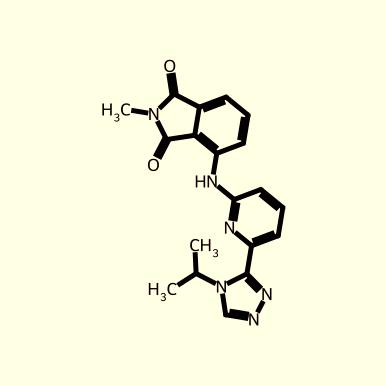 CC(C)n1cnnc1-c1cccc(Nc2cccc3c2C(=O)N(C)C3=O)n1